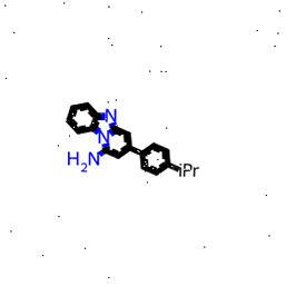 CC(C)c1ccc(-c2cc(N)n3c(c2)nc2ccccc23)cc1